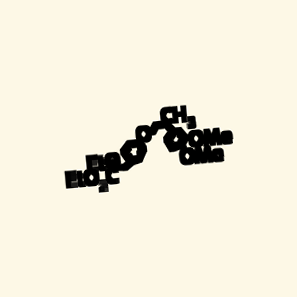 CCOC(=O)C(Cc1ccc(OCC=C(C)c2ccc(OC)c(OC)c2)cc1)OCC